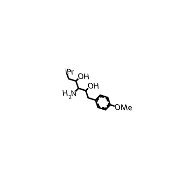 COc1ccc(CC(O)C(N)C(O)CC(C)C)cc1